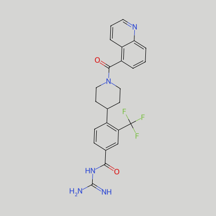 N=C(N)NC(=O)c1ccc(C2CCN(C(=O)c3cccc4ncccc34)CC2)c(C(F)(F)F)c1